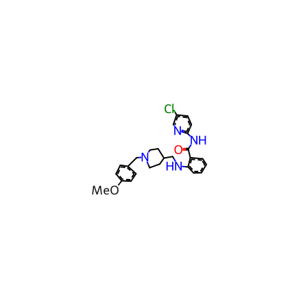 COc1ccc(CN2CCC(CNc3ccccc3C(=O)Nc3ccc(Cl)cn3)CC2)cc1